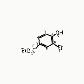 CCOC(=O)c1ccc(O)c(CC)c1